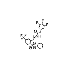 O=C(Cc1cc(F)c(F)c(F)c1)NN=Cc1cc(C(F)(F)F)ccc1S(=O)(=O)Oc1ccccc1